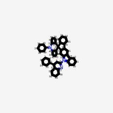 c1ccc(-c2cc(-n3c4ccccc4c4cc5c(cc43)C3(c4ccccc4-5)c4ccccc4N(c4ccccc4)c4ccccc43)nc3ccccc23)cc1